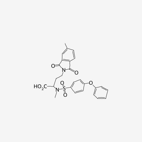 Cc1ccc2c(c1)C(=O)N(CCC(C(=O)O)N(C)S(=O)(=O)c1ccc(Oc3ccccc3)cc1)C2=O